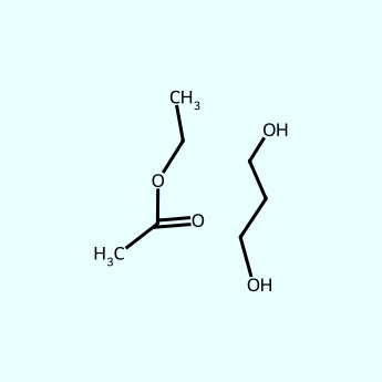 CCOC(C)=O.OCCCO